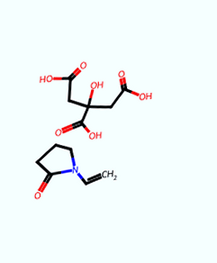 C=CN1CCCC1=O.O=C(O)CC(O)(CC(=O)O)C(=O)O